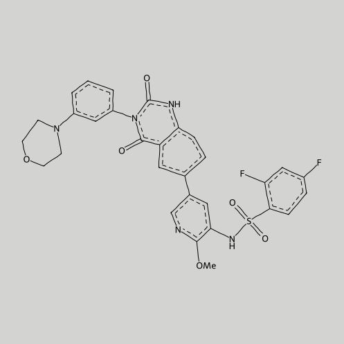 COc1ncc(-c2ccc3[nH]c(=O)n(-c4cccc(N5CCOCC5)c4)c(=O)c3c2)cc1NS(=O)(=O)c1ccc(F)cc1F